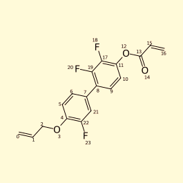 C=CCOc1ccc(-c2ccc(OC(=O)C=C)c(F)c2F)cc1F